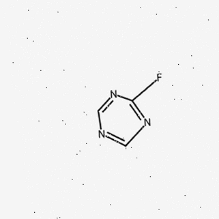 Fc1n[c]ncn1